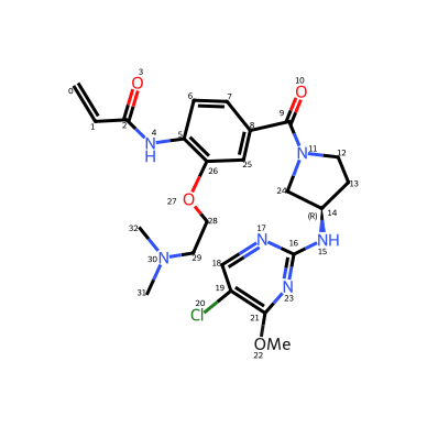 C=CC(=O)Nc1ccc(C(=O)N2CC[C@@H](Nc3ncc(Cl)c(OC)n3)C2)cc1OCCN(C)C